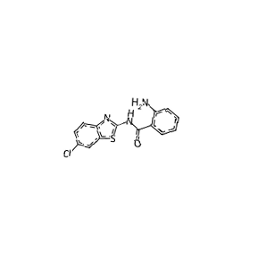 Nc1ccccc1C(=O)Nc1nc2ccc(Cl)cc2s1